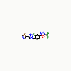 Fc1cc(-c2nnc(C(F)F)o2)ccc1Cn1cc(-c2cncs2)nn1